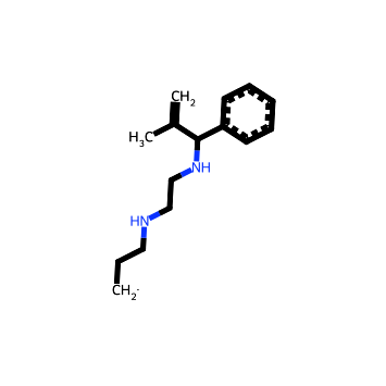 [CH2]CCNCCNC(C(=C)C)c1ccccc1